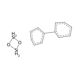 O1[SiH2]O[SiH2]1.c1ccc(-c2ccccc2)cc1